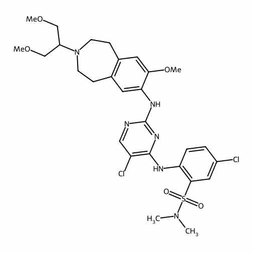 COCC(COC)N1CCc2cc(Nc3ncc(Cl)c(Nc4ccc(Cl)cc4S(=O)(=O)N(C)C)n3)c(OC)cc2CC1